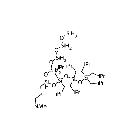 CNCCC[SiH](O[SiH2]O[SiH2]O[SiH2]O[SiH3])O[Si](CC(C)C)(CC(C)C)O[Si](CC(C)C)(CC(C)C)O[Si](CC(C)C)(CC(C)C)CC(C)C